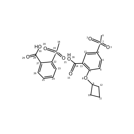 CS(=O)(=O)c1ccc(OC2CCC2)c(C(=O)O)c1.CS(=O)(=O)c1ccccc1C(=O)O